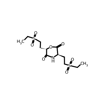 CCS(=O)(=O)CC[C@@H]1OC(=O)[C@@H](CCS(=O)(=O)CC)NC1=O